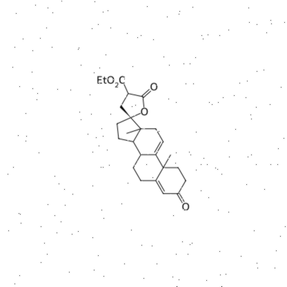 CCOC(=O)C1C[C@@]2(CCC3C4CCC5=CC(=O)CCC5(C)C4=CCC32C)OC1=O